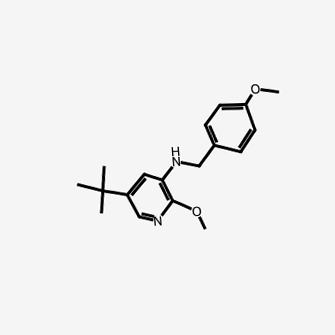 COc1ccc(CNc2cc(C(C)(C)C)cnc2OC)cc1